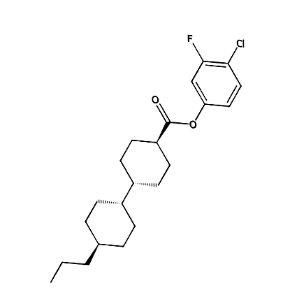 CCC[C@H]1CC[C@H]([C@H]2CC[C@H](C(=O)Oc3ccc(Cl)c(F)c3)CC2)CC1